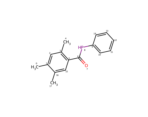 Cc1cc(C)c(C(=O)Pc2ccccc2)cc1C